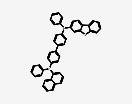 c1ccc(N(c2ccc(-c3ccc(N(c4ccccc4)c4cccc5ccccc45)cc3)cc2)c2ccc3c(c2)sc2ccccc23)cc1